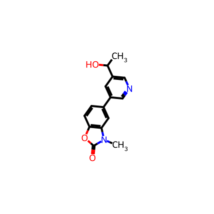 CC(O)c1cncc(-c2ccc3oc(=O)n(C)c3c2)c1